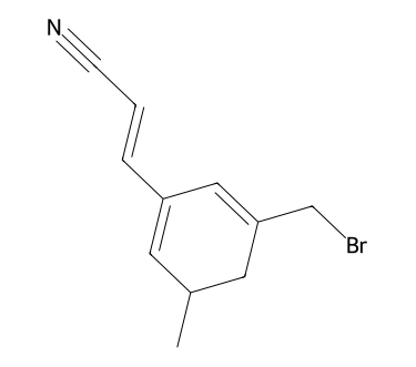 CC1C=C(/C=C/C#N)C=C(CBr)C1